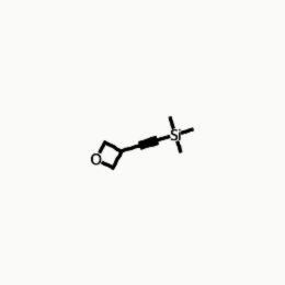 C[Si](C)(C)C#CC1COC1